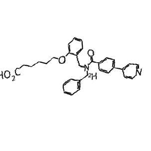 [2H]C(c1ccccc1)N(Cc1ccccc1OCCCCCC(=O)O)C(=O)c1ccc(-c2ccncc2)cc1